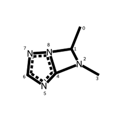 CC1N(C)c2ncnn21